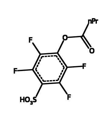 CCCC(=O)Oc1c(F)c(F)c(S(=O)(=O)O)c(F)c1F